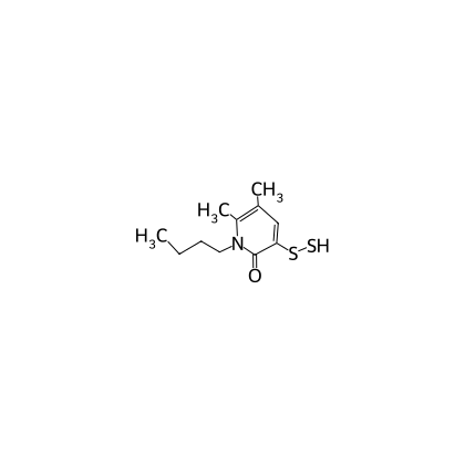 CCCCn1c(C)c(C)cc(SS)c1=O